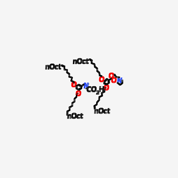 CCCCCCCC/C=C\CCCCCCCCOc1cc(CN(C)CC(=O)O)cc(OCCCCCCCC/C=C\CCCCCCCC)c1.CCCCCCCC/C=C\CCCCCCCCOc1cc(OCCCCCCCC/C=C\CCCCCCCC)cc(C2OCC(CN3CCCC3)O2)c1